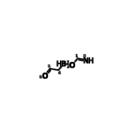 N=COBCC=O